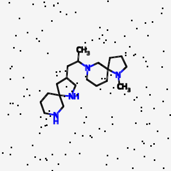 CC(CC1CNC2(CCCNC2)C1)N1CCCC2(CCCN2C)C1